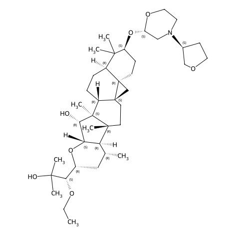 CCO[C@@H]([C@H]1C[C@@H](C)[C@H]2[C@H](O1)[C@H](O)[C@@]1(C)[C@@H]3CC[C@H]4C(C)(C)[C@@H](O[C@H]5CN([C@H]6CCOC6)CCO5)CC[C@@]45C[C@@]35CC[C@]21C)C(C)(C)O